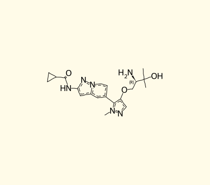 Cn1ncc(OC[C@@H](N)C(C)(C)O)c1-c1ccn2nc(NC(=O)C3CC3)cc2c1